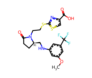 COc1cc(NC[C@H]2CCC(=O)N2CCSc2nc(C(=O)O)cs2)cc(C(F)(F)F)c1